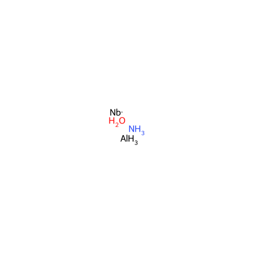 N.O.[AlH3].[Nb]